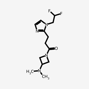 CN(C)C1CN(C(=O)CCc2nccn2CC(F)F)C1